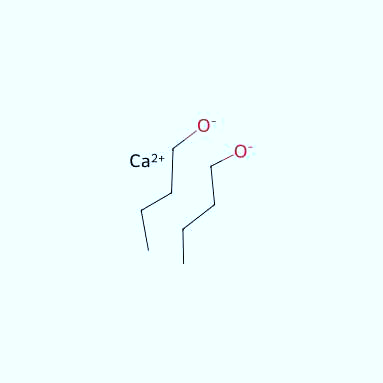 CCCC[O-].CCCC[O-].[Ca+2]